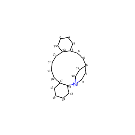 C1CCC2CCC3CCN(CC3)C3CCCCC3CCCCC2C1